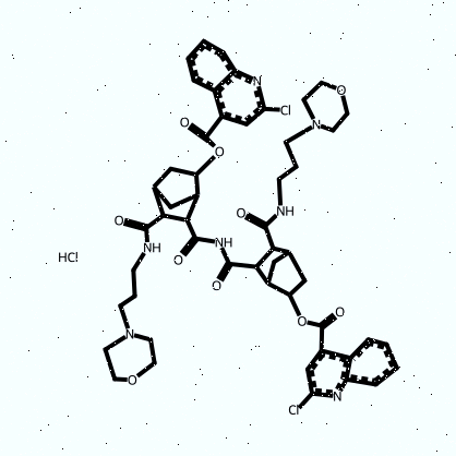 Cl.O=C(OC1CC2CC1C(C(=O)NC(=O)C1C3CC(CC3OC(=O)c3cc(Cl)nc4ccccc34)C1C(=O)NCCCN1CCOCC1)C2C(=O)NCCCN1CCOCC1)c1cc(Cl)nc2ccccc12